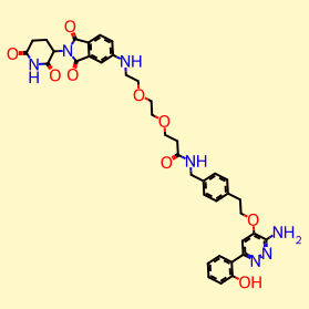 Nc1nnc(-c2ccccc2O)cc1OCCc1ccc(CNC(=O)CCOCCOCCNc2ccc3c(c2)C(=O)N(C2CCC(=O)NC2=O)C3=O)cc1